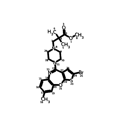 COC(=O)C(C)(C)CN1CCN(C2=Nc3ccc(C)cc3Oc3sc(Br)cc32)CC1